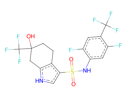 O=S(=O)(Nc1cc(F)c(C(F)(F)F)cc1F)c1c[nH]c2c1CCC(O)(C(F)(F)F)C2